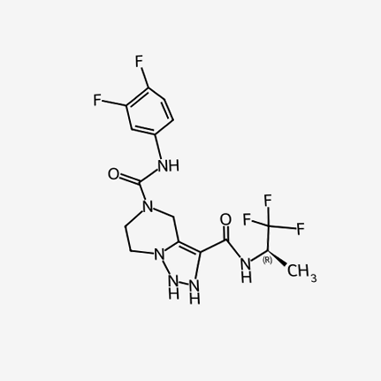 C[C@@H](NC(=O)C1=C2CN(C(=O)Nc3ccc(F)c(F)c3)CCN2NN1)C(F)(F)F